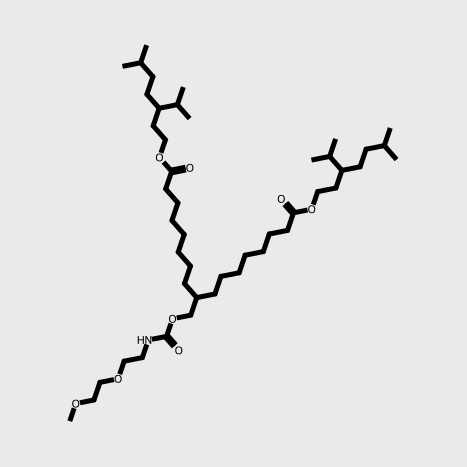 COCCOCCNC(=O)OCC(CCCCCCCC(=O)OCCC(CCC(C)C)C(C)C)CCCCCCCC(=O)OCCC(CCC(C)C)C(C)C